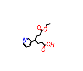 CCOC(=O)CCC(CCC(=O)O)c1cccnc1